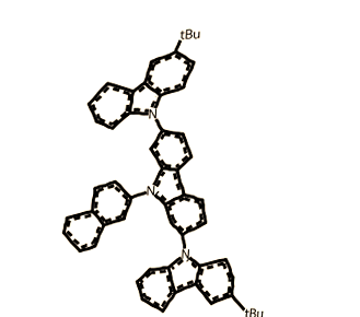 CC(C)(C)c1ccc2c(c1)c1ccccc1n2-c1ccc2c3ccc(-n4c5ccccc5c5cc(C(C)(C)C)ccc54)cc3n(-c3ccc4ccccc4c3)c2c1